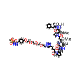 CC[C@H](C)[C@@H]([C@@H](CC(=O)N1CCC[C@H]1[C@H](OC)[C@@H](C)C(=O)N[C@@H](Cc1ccccc1)C(=O)O)OC)N(C)C(=O)[C@@H](NC(=O)[C@@H]1[C@H]2CC[C@H](C2)N1C(=O)CCCc1cn(CCOCCOCCOCCOc2ccc(-c3nnc(S(C)(=O)=O)o3)cc2)nn1)C(C)C